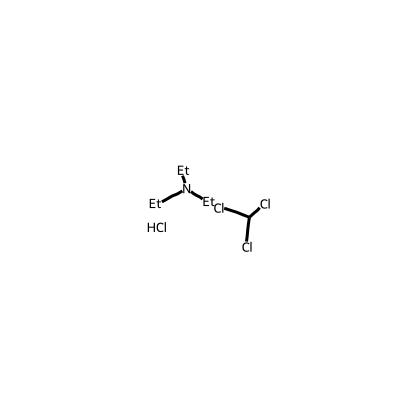 CCN(CC)CC.Cl.ClC(Cl)Cl